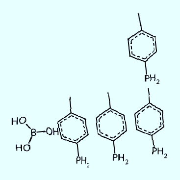 Cc1ccc(P)cc1.Cc1ccc(P)cc1.Cc1ccc(P)cc1.Cc1ccc(P)cc1.OB(O)O